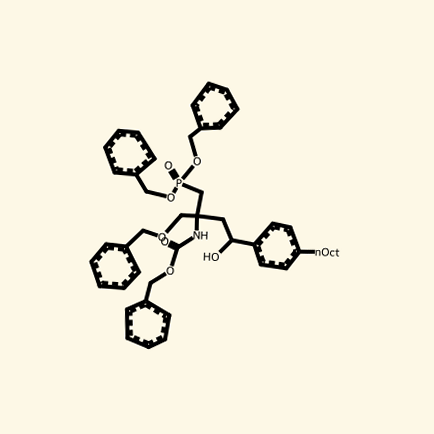 CCCCCCCCc1ccc(C(O)CC(COCc2ccccc2)(CP(=O)(OCc2ccccc2)OCc2ccccc2)NC(=O)OCc2ccccc2)cc1